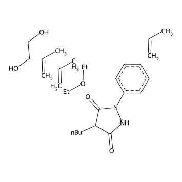 C=CC.C=CC.C=CC.CCCCC1C(=O)NN(c2ccccc2)C1=O.CCOCC.OCCO